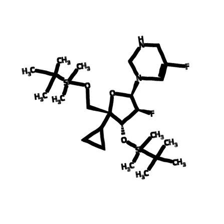 CC(C)(C)[Si](C)(C)OC[C@@]1(C2CC2)O[C@@H](N2C=C(F)CNC2)[C@@H](F)[C@@H]1O[Si](C)(C)C(C)(C)C